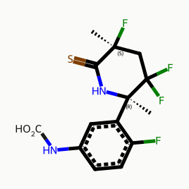 C[C@]1(F)CC(F)(F)[C@@](C)(c2cc(NC(=O)O)ccc2F)NC1=S